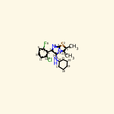 Cc1sc2nc(-c3c(F)cccc3Cl)c(NC3CCCCC3)n2c1C